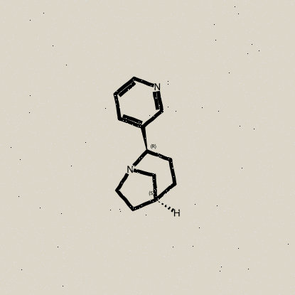 c1cncc([C@H]2CC[C@H]3CCN2C3)c1